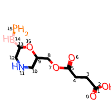 O=C(O)CCC(=O)OCC1CNCC(BP)O1